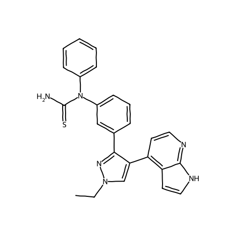 CCn1cc(-c2ccnc3[nH]ccc23)c(-c2cccc(N(C(N)=S)c3ccccc3)c2)n1